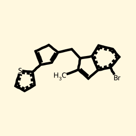 CC1=Cc2c(Br)cccc2C1CC1=CC(c2cccs2)=CC1